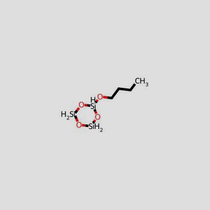 CCCCO[SiH]1O[SiH2]O[SiH2]O1